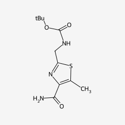 Cc1sc(CNC(=O)OC(C)(C)C)nc1C(N)=O